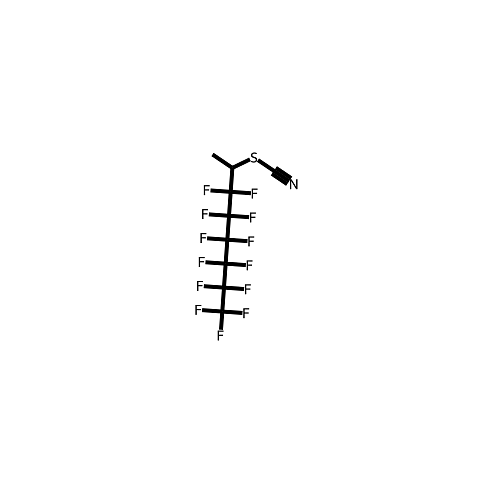 CC(SC#N)C(F)(F)C(F)(F)C(F)(F)C(F)(F)C(F)(F)C(F)(F)F